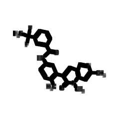 Cc1cc2c(cn1)cc(-c1cc(NC(=O)c3cccc(C(C)(F)F)c3)ccc1C)c(=O)n2C